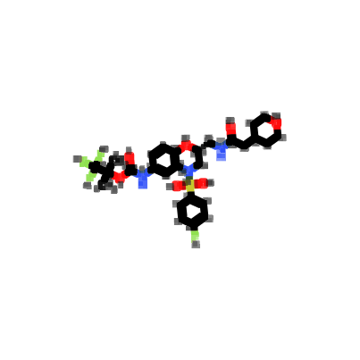 CC(C)(OC(=O)Nc1ccc2c(c1)N(S(=O)(=O)c1ccc(F)cc1)C[C@@H](CNC(=O)CC1CCOCC1)O2)C(F)(F)F